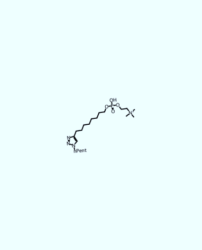 CCCCCn1cc(CCCCCCCCOP(=O)(O)OCC[N+](C)(C)C)nn1